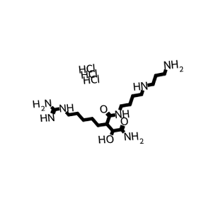 Cl.Cl.Cl.N=C(N)NCCCCCC(C(=O)NCCCCNCCCN)C(O)C(N)=O